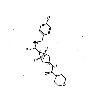 CCC(NCc1ccc(Cl)cc1)[C@H]1[C@@H]2C[C@@H](NC(=O)N3CCOCC3)C[C@@H]21